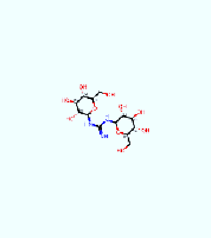 N=C(NC1O[C@H](CO)[C@@H](O)[C@H](O)[C@H]1O)NC1O[C@H](CO)[C@@H](O)[C@H](O)[C@H]1O